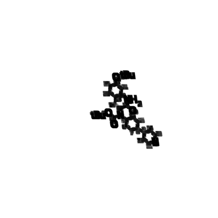 CC(C)(C)OC(=O)N(c1ccc(-c2ccncc2)cc1)[C@H](Cc1ccc(OC(C)(C)C)cc1)C(N)=O